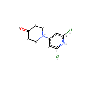 O=C1CCN(c2cc(Cl)nc(Cl)c2)CC1